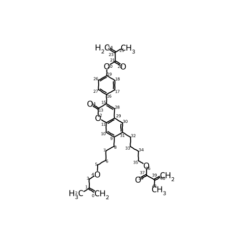 C=C(C)COCCCCc1cc2oc(=O)c(-c3ccc(OC(=O)C(=C)C)cc3)cc2cc1CCCCOC(=O)C(=C)C